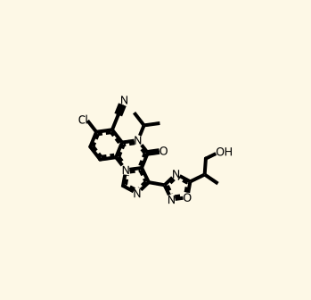 CC(CO)c1nc(-c2ncn3c2c(=O)n(C(C)C)c2c(C#N)c(Cl)ccc23)no1